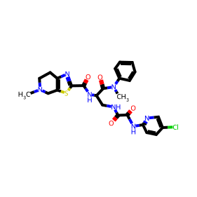 CN1CCc2nc(C(=O)NC(CNC(=O)C(=O)Nc3ccc(Cl)cn3)C(=O)N(C)c3ccccc3)sc2C1